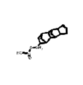 O=[Si](O)O[SiH2]C1CC2CC1C1C3CC(C4C=CCC43)C21